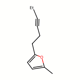 CCC#CCCc1ccc(C)o1